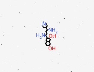 CN1CC=C(/C(N)=C/C=C(\N)c2cc3ccc(O)cc3cc2O)CC1